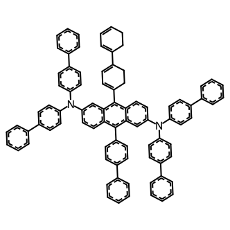 C1=CCCC(C2=CC=C(c3c4cc(N(c5ccc(-c6ccccc6)cc5)c5ccc(-c6ccccc6)cc5)ccc4c(-c4ccc(-c5ccccc5)cc4)c4cc(N(c5ccc(-c6ccccc6)cc5)c5ccc(-c6ccccc6)cc5)ccc34)CC2)=C1